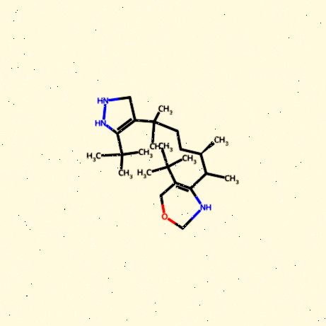 CC(C1=C(C(C)(C)C)COCN1)[C@H](C)CCC(C)(C)C1=C(C(C)(C)C)NNC1